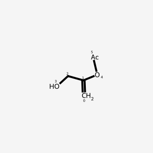 C=C(CO)OC(C)=O